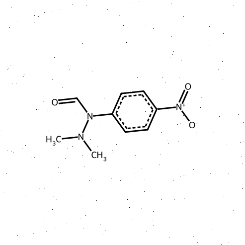 CN(C)N(C=O)c1ccc([N+](=O)[O-])cc1